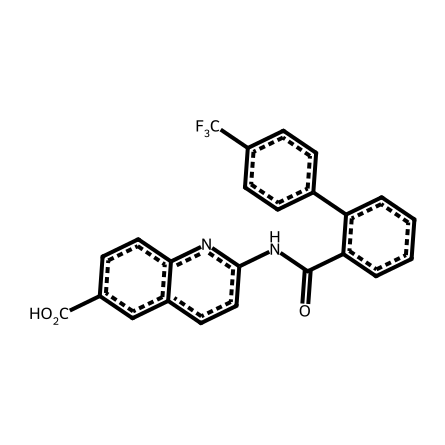 O=C(O)c1ccc2nc(NC(=O)c3ccccc3-c3ccc(C(F)(F)F)cc3)ccc2c1